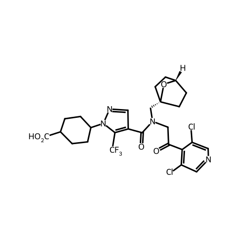 O=C(CN(C[C@]12CC[C@@H](CC1)O2)C(=O)c1cnn(C2CCC(C(=O)O)CC2)c1C(F)(F)F)c1c(Cl)cncc1Cl